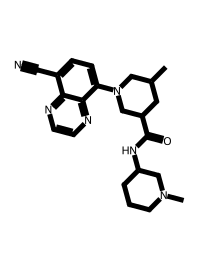 CC1CC(C(=O)NC2CCCN(C)C2)CN(c2ccc(C#N)c3nccnc23)C1